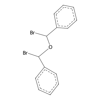 BrC(OC(Br)c1ccccc1)c1ccccc1